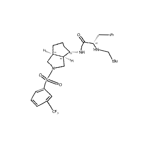 CC(C)C[C@H](NCC(C)(C)C)C(=O)N[C@H]1CC[C@@H]2CN(S(=O)(=O)c3cccc(C(F)(F)F)c3)C[C@@H]21